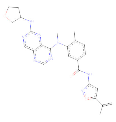 C=C(C)c1cc(NC(=O)c2ccc(C)c(N(C)c3ncnc4cnc(NC5CCOC5)nc34)c2)no1